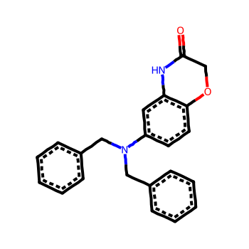 O=C1COc2ccc(N(Cc3ccccc3)Cc3ccccc3)cc2N1